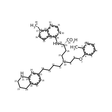 Cc1ncccc1OCCN(CCCCc1ccc2c(n1)NCCC2)CC[C@H](Nc1ncnc2c1ccn2C)C(=O)O